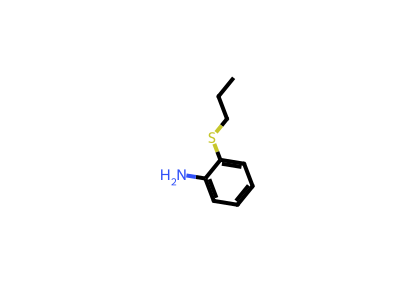 CCCSc1ccccc1N